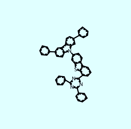 c1ccc(-c2ccc3c(c2)c2ccc(-c4ccccc4)cc2n3-c2ccc3c(c2)sc2c(-c4nc(-c5ccccc5)nc(-c5ccccc5)n4)cccc23)cc1